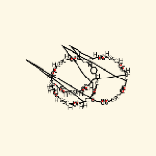 C1=C2CCC(=C1)[C@H]1CC3C[C@H](C1)[C@H]1CC[C@H](CC1)CSC[C@@H]1CC[C@@H](CC1)[C@H]1CC4CC(C1)[C@H]1CC[C@H](CC1)CSC[C@@H]1CC[C@@H](CC1)[C@H]1CC(C[C@H](C1)[C@H]1CC[C@H](CC1)CSC[C@@H]1CC[C@@H](CC1)C1CC(CC(C1)[C@H]1CC[C@H](CC1)CSC[C@@H]1CC[C@H]4CC1)[C@H]1CC[C@H](CC1)CSC2)C1CCC(CC1)CSCC1CCC3CC1